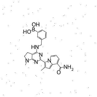 Cc1cc2c(C(N)=O)cccn2c1-c1nc(NCc2cccc(B(O)O)c2)c2c(n1)N(C)CC2